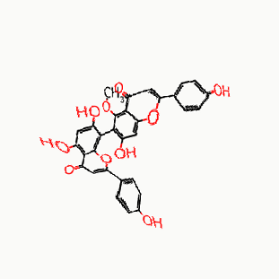 COc1c(-c2c(O)cc(O)c3c(=O)cc(-c4ccc(O)cc4)oc23)c(O)cc2oc(-c3ccc(O)cc3)cc(=O)c12